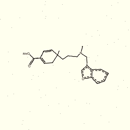 COC(=O)C1=CCC(C)(CCCN(C)Cc2coc3ccccc23)C=C1